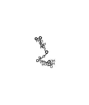 O=C1COc2c([C@@H](O)CNCCN(C(=O)CCOCCc3cccc(CCN4C[C@H]5C[C@@H](OC(=O)Nc6ccccc6-c6ccccc6)C[C@H]5C4)c3)C3CCCC3)ccc(O)c2N1